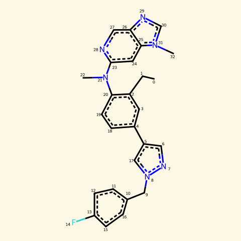 CCc1cc(-c2cnn(Cc3ccc(F)cc3)c2)ccc1N(C)c1cc2c(cn1)ncn2C